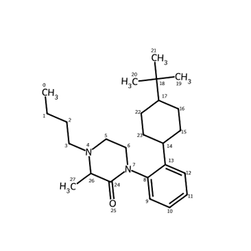 CCCCN1CCN(c2ccccc2C2CCC(C(C)(C)C)CC2)C(=O)C1C